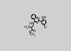 COC(=O)C(N)CNc1nc(-c2cc(Cl)ccc2O)nc2ccccc12